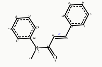 CN(C(=O)/C=C/c1ccccc1)c1ccccc1